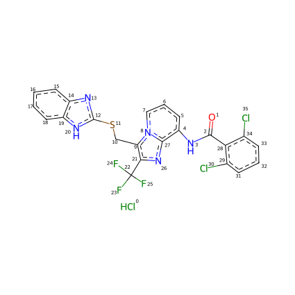 Cl.O=C(Nc1cccn2c(CSc3nc4ccccc4[nH]3)c(C(F)(F)F)nc12)c1c(Cl)cccc1Cl